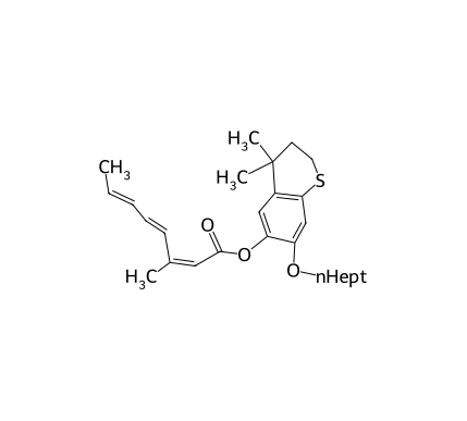 CC=CC=CC(C)=CC(=O)Oc1cc2c(cc1OCCCCCCC)SCCC2(C)C